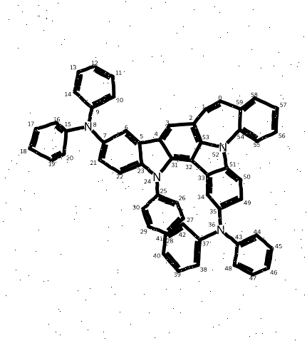 C1=Cc2cc3c4cc(N(c5ccccc5)c5ccccc5)ccc4n(-c4ccccc4)c3c3c4cc(N(c5ccccc5)c5ccccc5)ccc4n(c23)-c2ccccc21